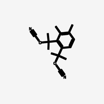 Cc1ccc(C(C)(C)OC#N)c(C(C)(C)OC#N)c1C